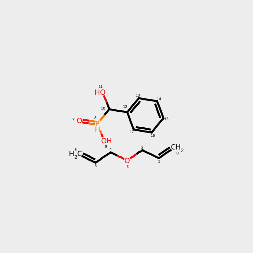 C=CCOCC=C.O=[PH](O)C(O)c1ccccc1